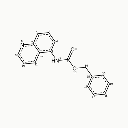 O=C(Nc1cccc2ncccc12)OCc1ccccc1